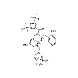 CC(C)(C)OC(=O)CN(CC(=O)O)[C@H]1CCN(C(=O)c2cc(C(F)(F)F)cc(C(F)(F)F)c2)[C@H](Cc2ccccc2)C1.Cl